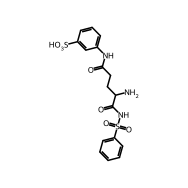 NC(CCC(=O)Nc1cccc(S(=O)(=O)O)c1)C(=O)NS(=O)(=O)c1ccccc1